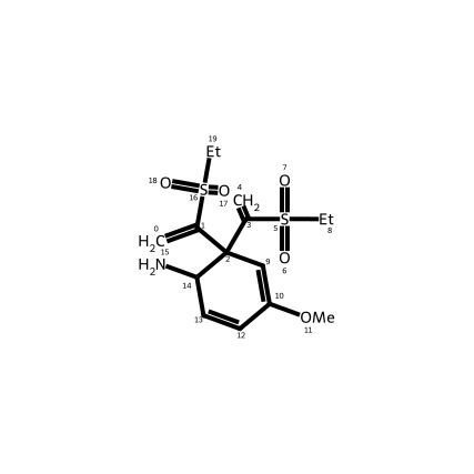 C=C(C1(C(=C)S(=O)(=O)CC)C=C(OC)C=CC1N)S(=O)(=O)CC